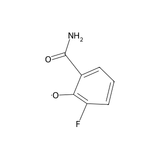 NC(=O)c1cccc(F)c1[O]